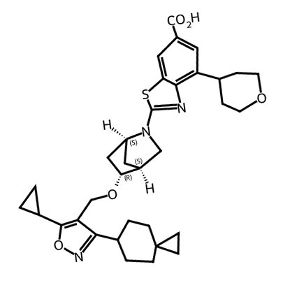 O=C(O)c1cc(C2CCOCC2)c2nc(N3C[C@@H]4C[C@H]3C[C@H]4OCc3c(C4CCC5(CC4)CC5)noc3C3CC3)sc2c1